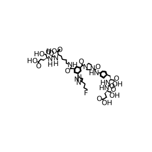 O=C(O)CC[C@H](NC(=O)NC(CCCCNC(=O)c1cc(C(=O)N2CCN(C(=O)Nc3ccc(C[C@H](NC(=O)N[C@H](CCC(=O)O)C(=O)O)C(=O)O)cc3)CC2)cc(-n2cc(CCCF)nn2)c1)C(=O)O)C(=O)O